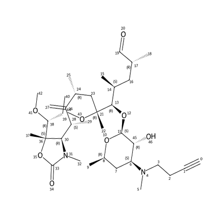 C#CCCN(C)[C@H]1C[C@@H](C)O[C@@H](O[C@H]([C@@H](C)C[C@@H](C)C=O)[C@@](C)(C[C@@H](C)C(=C)[C@H](C)[C@H]2N(C)C(=O)O[C@]2(C)[C@@H](CC)OC)OC)[C@@H]1O